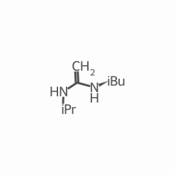 C=C(NC(C)C)N[C@H](C)CC